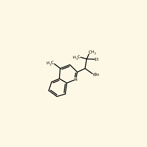 CCC(C)(C)C(c1cc(C)c2ccccc2n1)C(C)(C)C